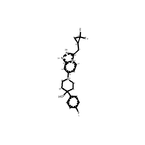 OC1(c2ccc(F)cc2)CCN(c2ccn3c(CC4CC4(F)F)nnc3c2)CC1